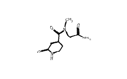 CN(CC(N)=O)C(=O)C1CCNC(=O)C1